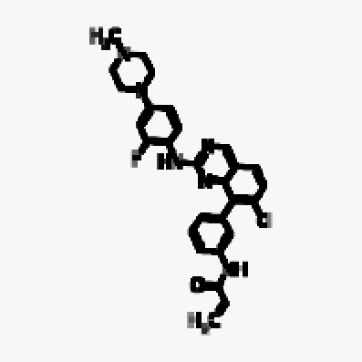 C=CC(=O)Nc1cccc(-c2c(Cl)ccc3cnc(Nc4ccc(N5CCN(C)CC5)cc4F)nc23)c1